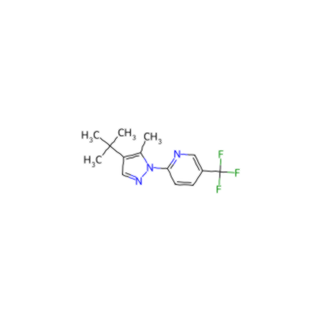 Cc1c(C(C)(C)C)cnn1-c1ccc(C(F)(F)F)cn1